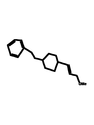 COCC=CC1CCC(CCc2ccccc2)CC1